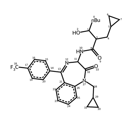 CCCCC(O)C(CC1CC1)C(=O)NC1N=C(c2ccc(C(F)(F)F)cc2)c2ccccc2N(CC2CC2)C1=O